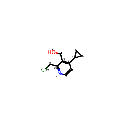 OCc1c(C2CC2)ccnc1CCl